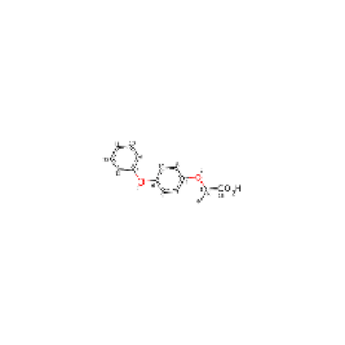 C[C@@H](Oc1ccc(Oc2ccccc2)cc1)C(=O)O